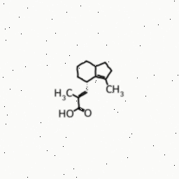 CC1=C2C(CCC[C@H]2/C=C(\C)C(=O)O)CC1